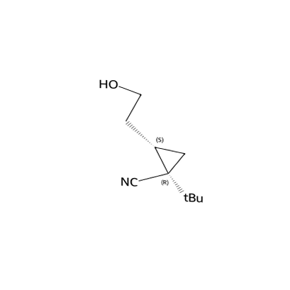 CC(C)(C)[C@@]1(C#N)C[C@H]1CCO